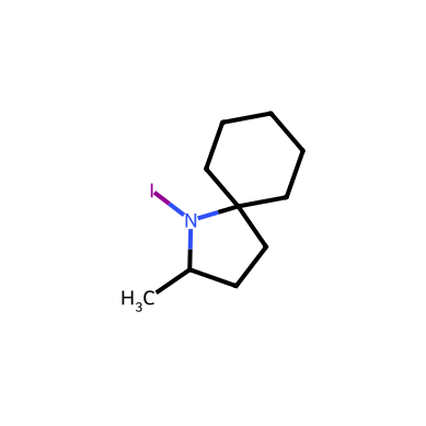 CC1CCC2(CCCCC2)N1I